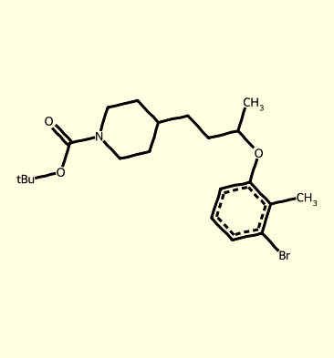 Cc1c(Br)cccc1OC(C)CCC1CCN(C(=O)OC(C)(C)C)CC1